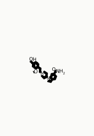 COc1cc(CO)ccc1CCN1CCC(n2ccc3ccc(C(N)=O)cc32)CC1